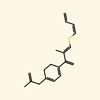 C=C/C=C\S/C=C(\C)C(=C)C1=CC=C(CC(=C)C)CC1